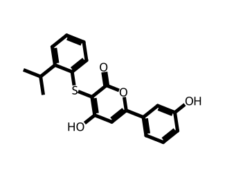 CC(C)c1ccccc1Sc1c(O)cc(-c2cccc(O)c2)oc1=O